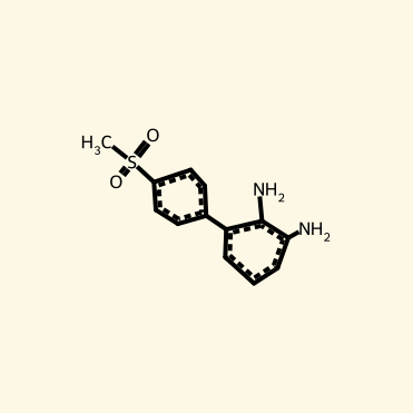 CS(=O)(=O)c1ccc(-c2cccc(N)c2N)cc1